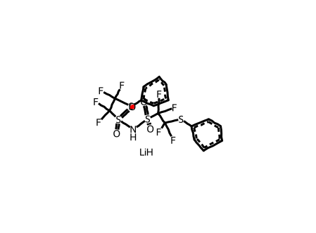 O=S(=O)(NS(=O)(=O)C(F)(F)C(F)(F)Sc1ccccc1)C(F)(F)C(F)(F)Sc1ccccc1.[LiH]